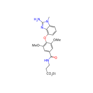 CCOC(=O)CCNC(=O)c1cc(OC)c(Oc2cccc3c2nc(N)n3C)c(OC)c1